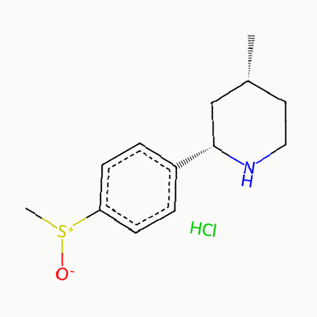 C[C@@H]1CCN[C@H](c2ccc([S+](C)[O-])cc2)C1.Cl